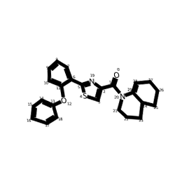 O=C(c1csc(-c2ccccc2Oc2ccccc2)n1)N1CCCC2CCCC=C21